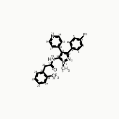 Cn1nc(-c2ccc(F)cc2)c(-c2ccncc2)c1NC(=O)Cc1ccccc1C(F)(F)F